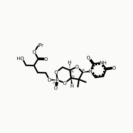 CC(C)OC(=O)C(CO)CCO[P@@]1(=O)OC[C@H]2O[C@@H](n3ccc(=O)[nH]c3=O)C(C)(C)[C@@H]2O1